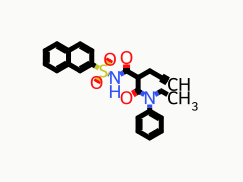 C#CCC(C(=O)NS(=O)(=O)c1ccc2ccccc2c1)C(=O)N(CC)c1ccccc1